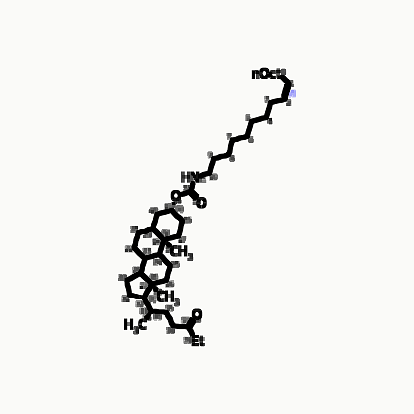 CCCCCCCC/C=C\CCCCCCCCNC(=O)O[C@@H]1CC[C@@]2(C)C(CCC3C2CC[C@@]2(C)C3CC[C@@H]2[C@H](C)CCC(=O)CC)C1